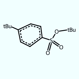 CC(C)(C)OS(=O)(=O)c1ccc(C(C)(C)C)cc1